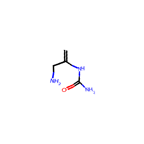 C=C(CN)NC(N)=O